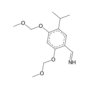 COCOc1cc(OCOC)c(C(C)C)cc1C=N